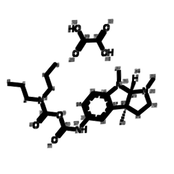 CCCN(CCC)C(=O)OC(=O)Nc1ccc2c(c1)[C@]1(C)CCN(C)[C@H]1N2C.O=C(O)C(=O)O